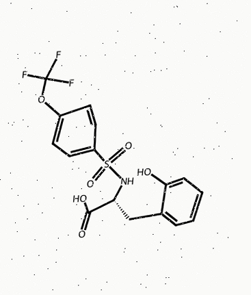 O=C(O)[C@@H](Cc1ccccc1O)NS(=O)(=O)c1ccc(OC(F)(F)F)cc1